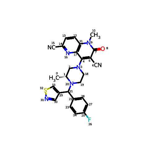 C[C@@H]1CN(c2c(C#N)c(=O)n(C)c3ccc(C#N)nc23)CCN1C(c1ccc(F)cc1)c1cnsc1